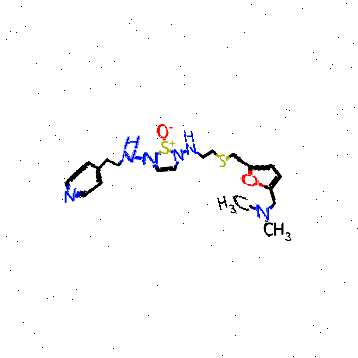 CN(C)Cc1ccc(CSCCNN2C=CN(NCCc3ccncc3)[S+]2[O-])o1